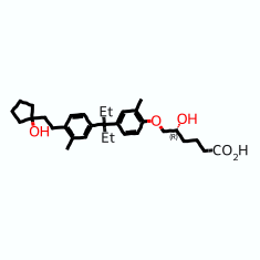 CCC(CC)(c1ccc(CCC2(O)CCCC2)c(C)c1)c1ccc(OC[C@H](O)CCCC(=O)O)c(C)c1